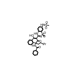 CC(C)CCC1(NC(=O)c2ccccc2)C(=O)C(C2=NS(=O)(=O)c3cc(NS(C)(=O)=O)ccc3N2)=C(O)c2ccccc21